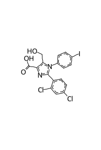 O=C(O)c1nc(-c2ccc(Cl)cc2Cl)n(-c2ccc(I)cc2)c1CO